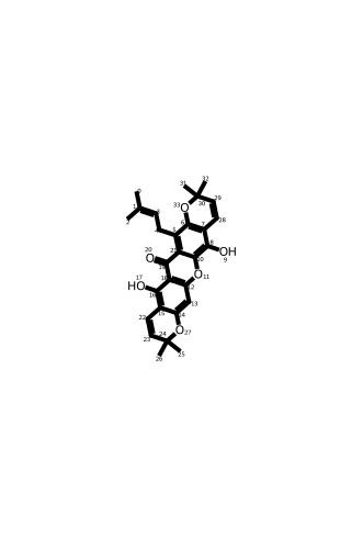 CC(C)=CCc1c2c(c(O)c3oc4cc5c(c(O)c4c(=O)c13)C=CC(C)(C)O5)C=CC(C)(C)O2